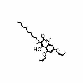 C/C=C\Oc1cc(O/C=C\C)c2c(O)c(OCCCCCCCC)c(=O)n(C)c2c1